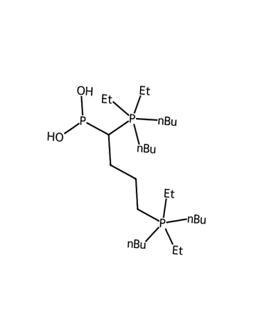 CCCCP(CC)(CC)(CCCC)CCCC(P(O)O)P(CC)(CC)(CCCC)CCCC